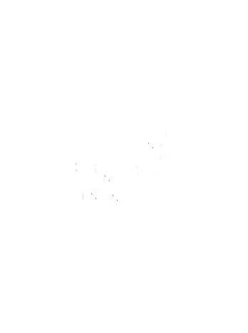 C[C@@H](Nc1ncc(-c2ccc3oc(=O)n(C)c3c2)cn1)c1ccc(F)cc1